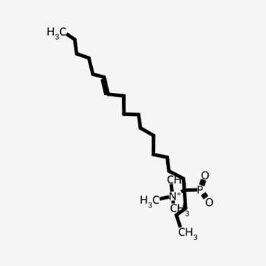 CCCCCC=CCCCCCCCCCC(CCC)(P(=O)=O)[N+](C)(C)C